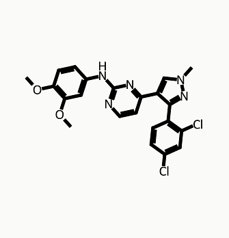 COc1ccc(Nc2nccc(-c3cn(C)nc3-c3ccc(Cl)cc3Cl)n2)cc1OC